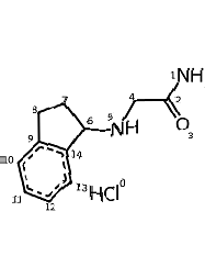 Cl.NC(=O)CNC1CCc2ccccc21